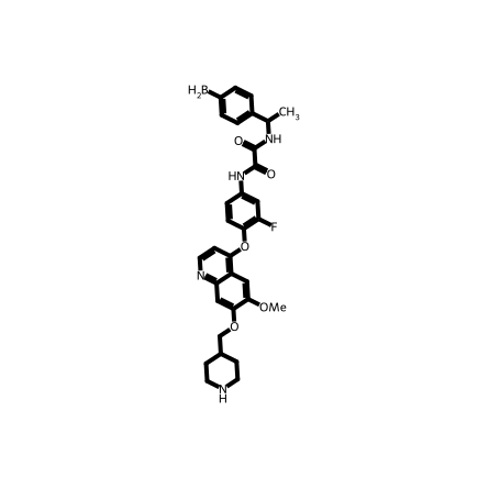 Bc1ccc(C(C)NC(=O)C(=O)Nc2ccc(Oc3ccnc4cc(OCC5CCNCC5)c(OC)cc34)c(F)c2)cc1